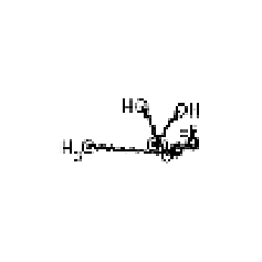 CCCCCCCCCCCCCCCC(OC(=O)C(CCCCCCO)CCCCCCO)Oc1ccc(-c2cccc(F)c2F)cc1